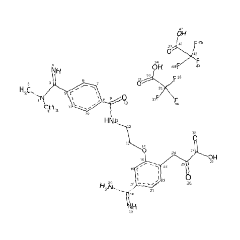 CN(C)C(=N)c1ccc(C(=O)NCCOc2cc(C(=N)N)ccc2CC(=O)C(=O)O)cc1.O=C(O)C(F)(F)F.O=C(O)C(F)(F)F